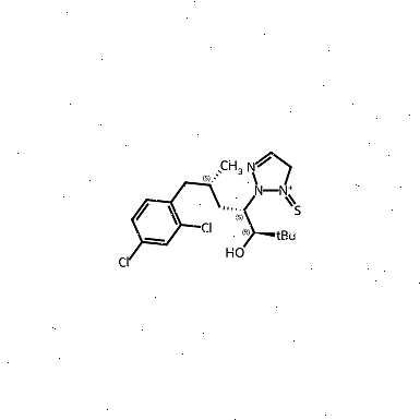 C[C@@H](Cc1ccc(Cl)cc1Cl)C[C@@H]([C@H](O)C(C)(C)C)N1N=CC[N+]1=S